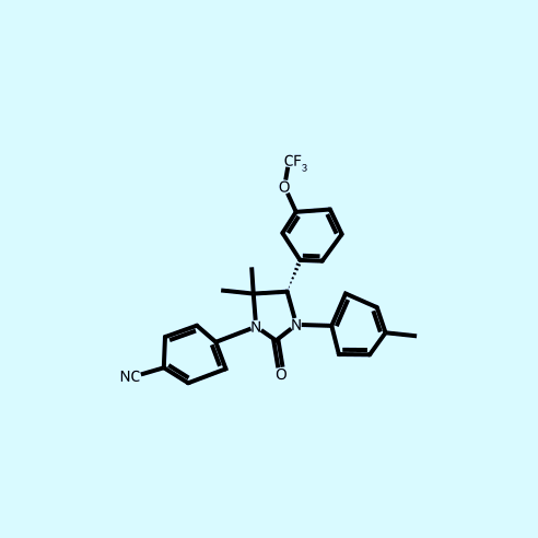 Cc1ccc(N2C(=O)N(c3ccc(C#N)cc3)C(C)(C)[C@@H]2c2cccc(OC(F)(F)F)c2)cc1